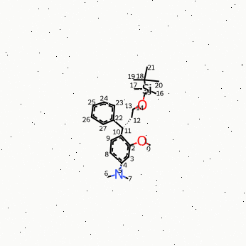 COc1cc(N(C)C)ccc1[C@@H](CCO[Si](C)(C)C(C)(C)C)c1ccccc1